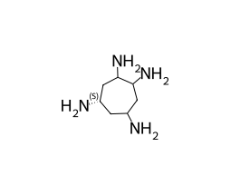 NC1CC(N)C(N)C[C@@H](N)C1